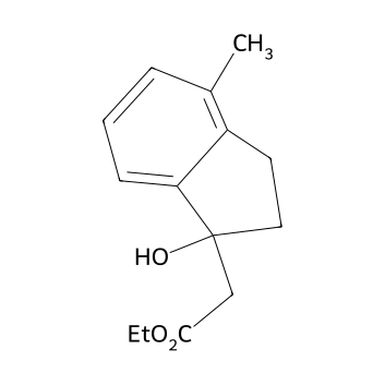 CCOC(=O)CC1(O)CCc2c(C)cccc21